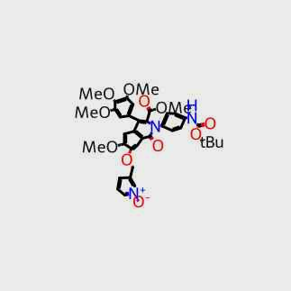 COC(=O)c1c(-c2cc(OC)c(OC)c(OC)c2)c2cc(OC)c(OCc3ccc[n+]([O-])c3)cc2c(=O)n1-c1ccc(NC(=O)OC(C)(C)C)cc1